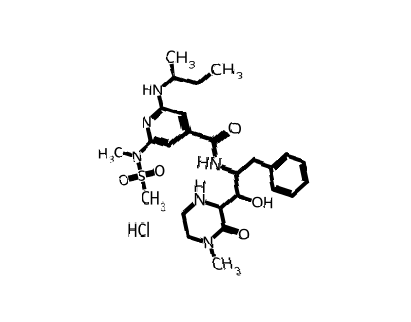 CC[C@H](C)Nc1cc(C(=O)NC(Cc2ccccc2)C(O)C2NCCN(C)C2=O)cc(N(C)S(C)(=O)=O)n1.Cl